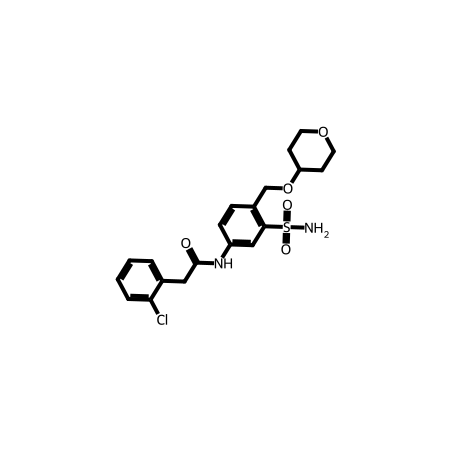 NS(=O)(=O)c1cc(NC(=O)Cc2ccccc2Cl)ccc1COC1CCOCC1